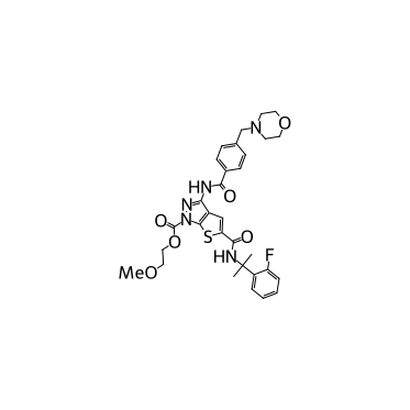 COCCOC(=O)n1nc(NC(=O)c2ccc(CN3CCOCC3)cc2)c2cc(C(=O)NC(C)(C)c3ccccc3F)sc21